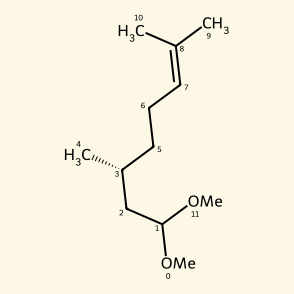 COC(C[C@H](C)CCC=C(C)C)OC